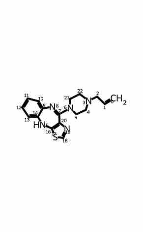 C=CCN1CCN(C2=Nc3ccccc3Nc3scnc32)CC1